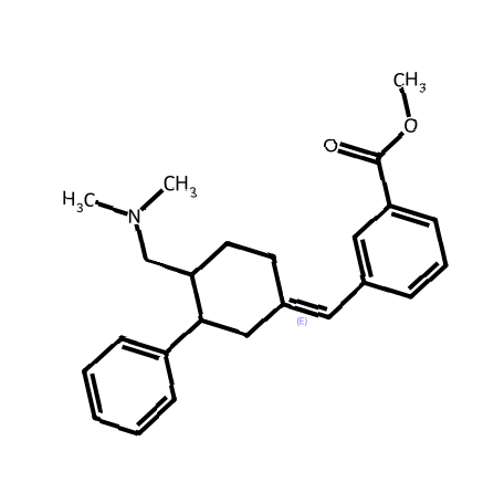 COC(=O)c1cccc(/C=C2\CCC(CN(C)C)C(c3ccccc3)C2)c1